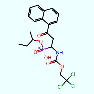 CCC(C)O[P@@](=O)(O)C(CC(=O)c1cccc2ccccc12)NC(=O)OCC(Cl)(Cl)Cl